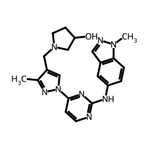 Cc1nn(-c2ccnc(Nc3ccc4c(cnn4C)c3)n2)cc1CN1CCC(O)C1